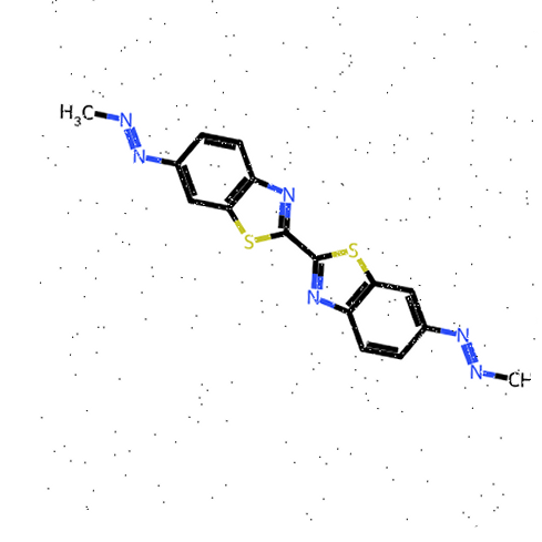 CN=Nc1ccc2nc(-c3nc4ccc(N=NC)cc4s3)sc2c1